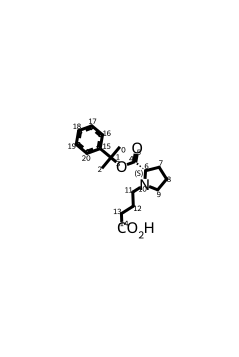 CC(C)(OC(=O)[C@@H]1CCCN1CCCC(=O)O)c1ccccc1